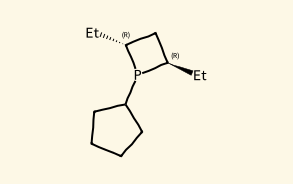 CC[C@@H]1C[C@@H](CC)P1C1CCCC1